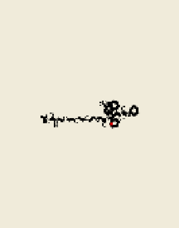 CC(C)(C)OC(=O)NCCOCCOCCOCCOCC(=O)N1C(=O)[C@@]2(c3ccc(Cl)cc31)[C@@H](c1cccc(Cl)c1F)[C@H](C(=O)NC1CCCCC1)NC21CCCCC1